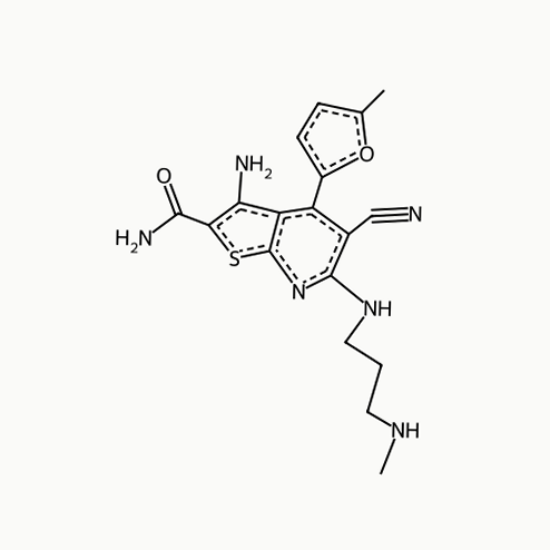 CNCCCNc1nc2sc(C(N)=O)c(N)c2c(-c2ccc(C)o2)c1C#N